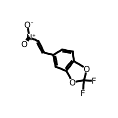 O=[N+]([O-])C=Cc1ccc2c(c1)OC(F)(F)O2